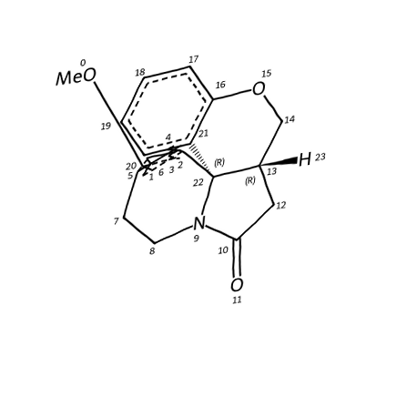 COc1ccc2c(c1)CCN1C(=O)C[C@H]3COc4ccccc4[C@]231